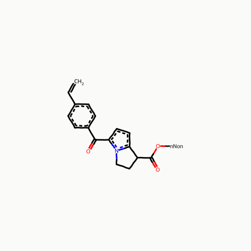 C=Cc1ccc(C(=O)c2ccc3n2CCC3C(=O)OCCCCCCCCC)cc1